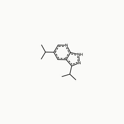 CC(C)c1cnc2[nH]nc(C(C)C)c2c1